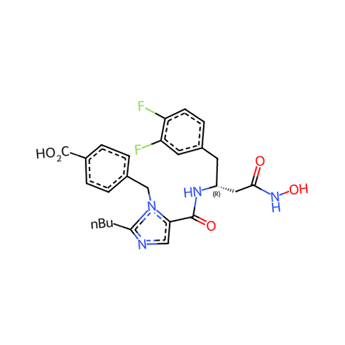 CCCCc1ncc(C(=O)N[C@@H](CC(=O)NO)Cc2ccc(F)c(F)c2)n1Cc1ccc(C(=O)O)cc1